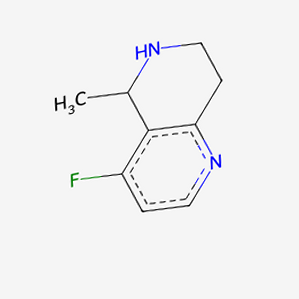 CC1NCCc2nccc(F)c21